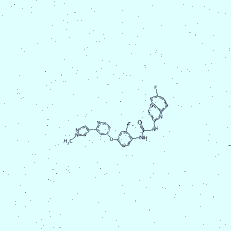 Cn1cc(-c2cc(Oc3ccc(NC(=O)Nc4nc5ccc(F)cc5s4)c(F)c3)ccn2)cn1